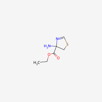 CCOC(=O)C1(N)CSC=N1